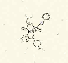 CC(C)C[C@H]1ON(C(=O)/C=C/c2ccccc2)[C@H]2CN(C3CCN(C)CC3)C(=O)[C@H](CC(C)C)N2C1=O